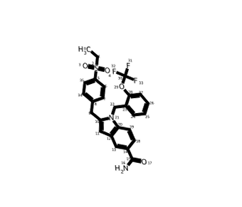 CCS(=O)(=O)c1ccc(Cc2cc3cc(C(N)=O)ccc3n2Cc2ccccc2OC(F)(F)F)cc1